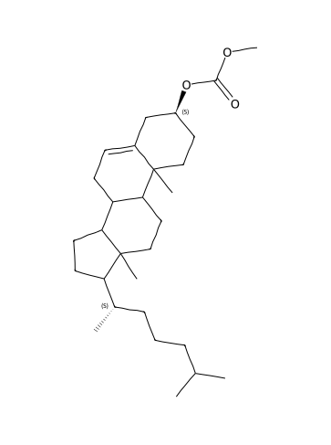 COC(=O)O[C@H]1CCC2(C)C(=CCC3C2CCC2(C)C3CCC2[C@@H](C)CCCC(C)C)C1